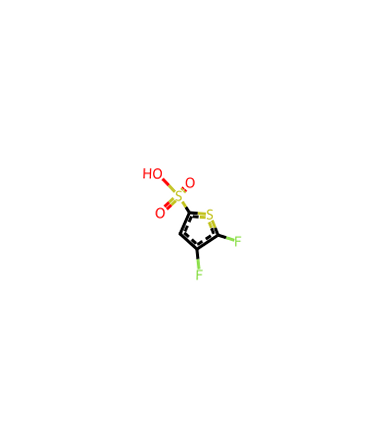 O=S(=O)(O)c1cc(F)c(F)s1